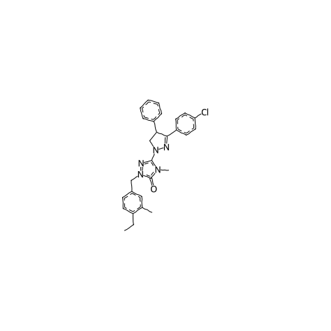 CCc1ccc(Cn2nc(N3CC(c4ccccc4)C(c4ccc(Cl)cc4)=N3)n(C)c2=O)cc1C